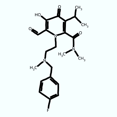 CC(C)c1c(C(=O)N(C)C)n(CCN(C)Cc2ccc(F)cc2)c(C=O)c(O)c1=O